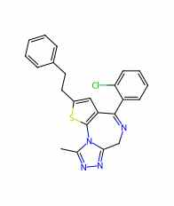 Cc1nnc2n1-c1sc(CCc3ccccc3)cc1C(c1ccccc1Cl)=NC2